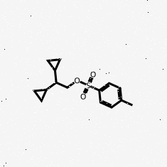 Cc1ccc(S(=O)(=O)OCC(C2CC2)C2CC2)cc1